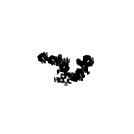 Cn1c2cnccc2c(=O)n1-c1ccc(C[C@H](NC(=O)c2cc(F)c(NS(=O)(=O)c3ccc(-c4ncccn4)cn3)cc2F)C(=O)O)nc1